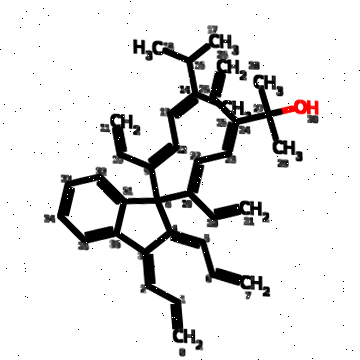 C=C/C=C1\C(=C/C=C)C(/C(C=C)=C/C=C(\C)C(C)C)(/C(C=C)=C/C=C(\C=C)C(C)(C)O)c2ccccc21